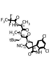 C[C@H](NC(=O)C(F)(F)C(F)(F)F)C(=O)N(C)[C@@H](CC(C)(C)C)C(=O)N1C[C@]2(C[C@H]1C#N)C(=O)Nc1c(Cl)cc(Cl)cc12